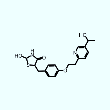 CC(O)c1ccc(CCOc2ccc(CC3SC(O)NC3=O)cc2)nc1